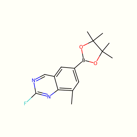 Cc1cc(B2OC(C)(C)C(C)(C)O2)cc2cnc(F)nc12